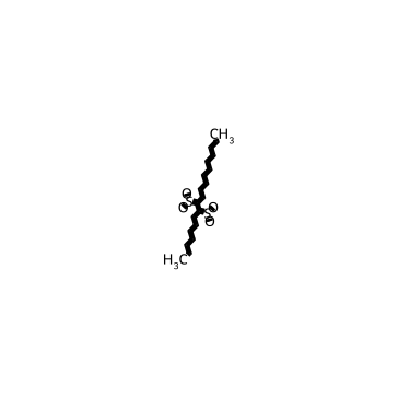 CCCCCCCCCCC(C(CCCCCCC)=S(=O)=O)=S(=O)=O